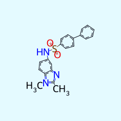 Cc1nc2cc(NS(=O)(=O)c3ccc(-c4ccccc4)cc3)ccc2n1C